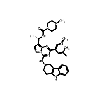 C=N/C=C(\C=C(/C)F)c1nc(N[C@@H]2CCc3[nH]c4ccccc4c3C2)n2ncc([C@H](C)NC(=O)N3CCN(C)CC3)c2n1